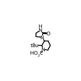 CC(C)(C)C1C(N2CCNC2=O)CCCN1C(=O)O